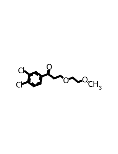 COCCOCCC(=O)c1ccc(Cl)c(Cl)c1